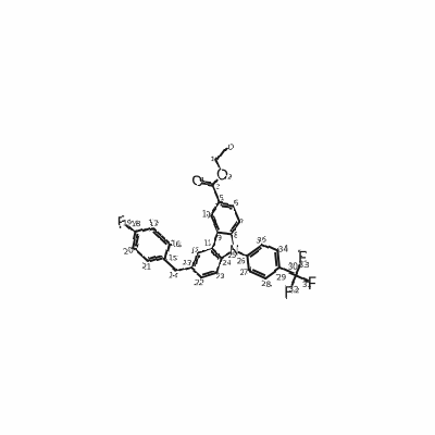 CCOC(=O)c1ccc2c(c1)c1cc(Cc3ccc(F)cc3)ccc1n2-c1ccc(C(F)(F)F)cc1